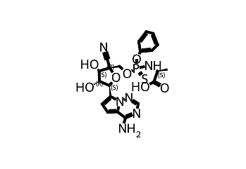 C[C@H](NP(=S)(OC[C@@]1(C#N)O[C@@H](c2ccc3c(N)ncnn23)[C@H](O)[C@@H]1O)Oc1ccccc1)C(=O)O